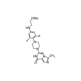 COCCNc1cc(F)c(N2CCN(c3nn4c(C)ncc4c(=O)[nH]3)CC2)c(F)c1